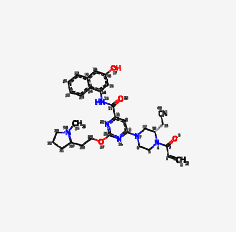 C=CC(=O)N1CCN(c2cc(C(=O)Nc3cc(O)cc4ccccc34)nc(OCCC3CCCN3C)n2)C[C@@H]1CC#N